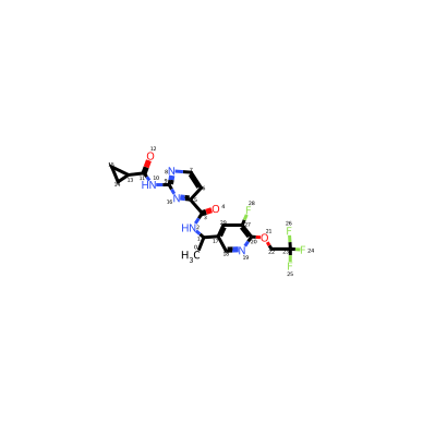 CC(NC(=O)c1ccnc(NC(=O)C2CC2)n1)c1cnc(OCC(F)(F)F)c(F)c1